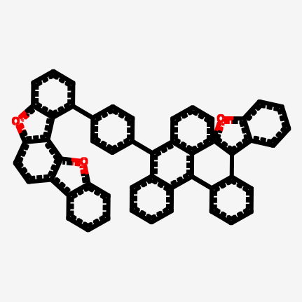 c1ccc(-c2c3ccccc3c(-c3ccc(-c4cccc5oc6ccc7c8ccccc8oc7c6c45)cc3)c3ccccc23)c(-c2coc3ccccc23)c1